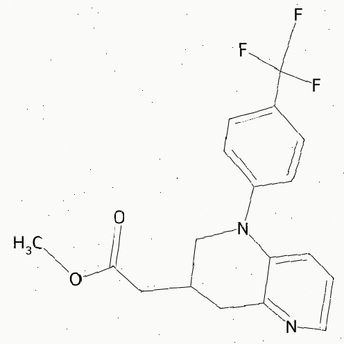 COC(=O)CC1Cc2ncccc2N(c2ccc(C(F)(F)F)cc2)C1